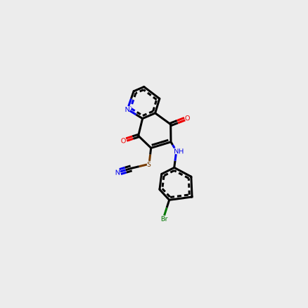 N#CSC1=C(Nc2ccc(Br)cc2)C(=O)c2cccnc2C1=O